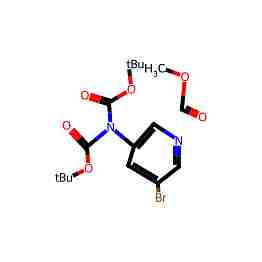 CC(C)(C)OC(=O)N(C(=O)OC(C)(C)C)c1cncc(Br)c1.COC=O